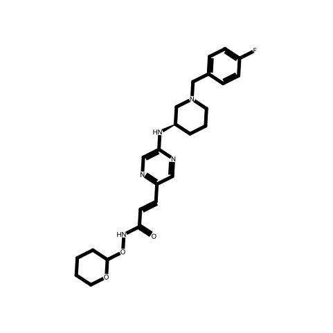 O=C(/C=C/c1cnc(N[C@@H]2CCCN(Cc3ccc(F)cc3)C2)cn1)NOC1CCCCO1